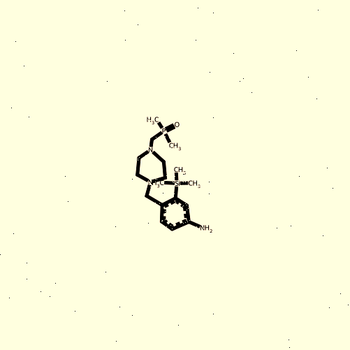 C[Si](C)(C)c1cc(N)ccc1CN1CCN(CP(C)(C)=O)CC1